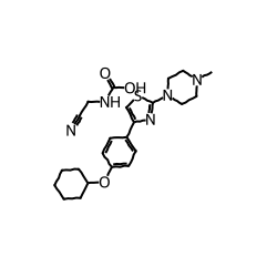 CN1CCN(c2nc(-c3ccc(OC4CCCCC4)cc3)cs2)CC1.N#CCNC(=O)O